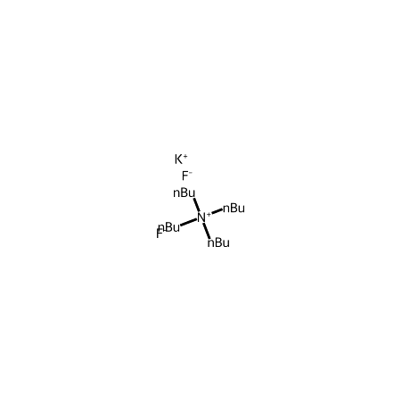 CCCC[N+](CCCC)(CCCC)CCCC.[F-].[F-].[K+]